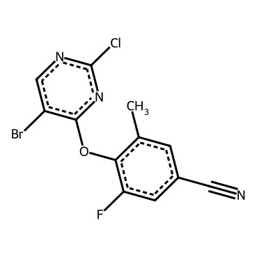 Cc1cc(C#N)cc(F)c1Oc1nc(Cl)ncc1Br